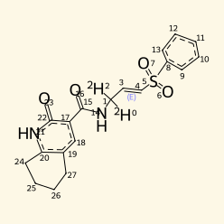 [2H]C([2H])(/C=C/S(=O)(=O)c1ccccc1)NC(=O)c1cc2c([nH]c1=O)CCCC2